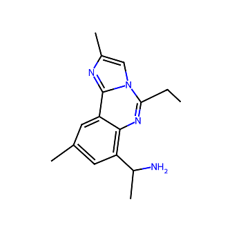 CCc1nc2c(C(C)N)cc(C)cc2c2nc(C)cn12